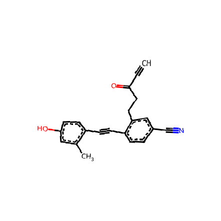 C#CC(=O)CCc1cc(C#N)ccc1C#Cc1ccc(O)cc1C